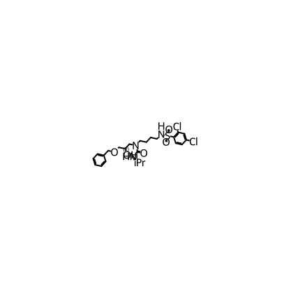 CC(C)NC(=O)N(CCCCNS(=O)(=O)c1ccc(Cl)cc1Cl)C[C@@H](O)COCc1ccccc1